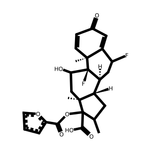 CC1C[C@H]2[C@@H]3CC(F)C4=CC(=O)C=C[C@]4(C)[C@@]3(F)C(O)C[C@]2(C)C1(OC(=O)c1ccco1)C(=O)O